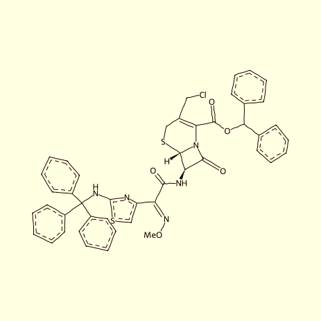 CON=C(C(=O)N[C@@H]1C(=O)N2C(C(=O)OC(c3ccccc3)c3ccccc3)=C(CCl)CS[C@@H]12)c1csc(NC(c2ccccc2)(c2ccccc2)c2ccccc2)n1